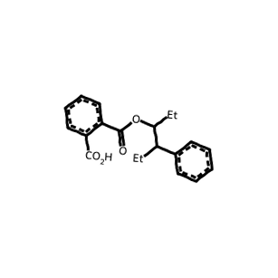 CCC(OC(=O)c1ccccc1C(=O)O)C(CC)c1ccccc1